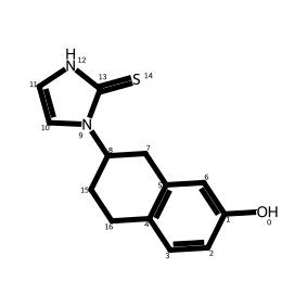 Oc1ccc2c(c1)CC(n1cc[nH]c1=S)CC2